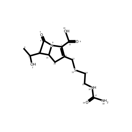 CC(O)C1C(=O)N2C(C(=O)O)=C(CSCCNC(N)=O)CC12